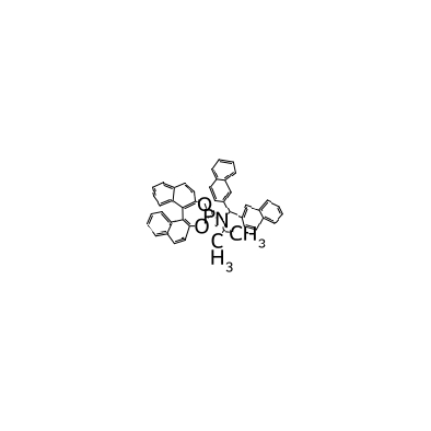 CC(C)N(C(c1ccc2ccccc2c1)c1ccc2ccccc2c1)p1oc2ccc3ccccc3c2c2c(ccc3ccccc32)o1